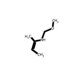 CC=C(C)NCOC